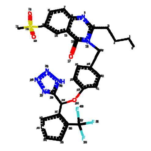 CCCCc1nc2ccc(S(C)(=O)=O)cc2c(=O)n1Cc1ccc(OC(c2nnn[nH]2)c2ccccc2C(F)(F)F)cc1